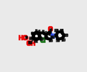 O=C1C(Cc2ccc(B(O)O)cc2Cl)CCN1C1CCCCC1